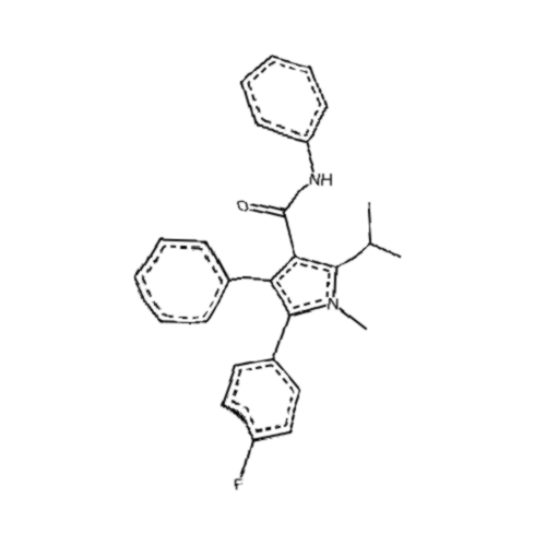 CC(C)c1c(C(=O)Nc2ccccc2)c(-c2ccccc2)c(-c2ccc(F)cc2)n1C